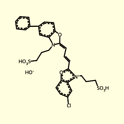 O=S(=O)(O)CCCN1C(=CC=Cc2oc3ccc(Cl)cc3[n+]2CCCS(=O)(=O)O)Oc2ccc(-c3ccccc3)cc21.[OH-]